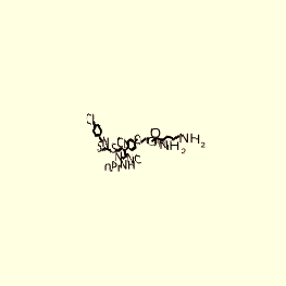 [C-]#[N+]c1c(NCCC)nc(SCc2csc(-c3ccc(Cl)cc3)n2)c(C#N)c1-c1ccc(OCCOC(=O)[C@@H](N)CCCN)cc1